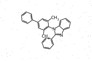 Cc1cc(-c2ccccc2)cc(C)c1-n1c(-c2ccccc2)nc2ccccc21